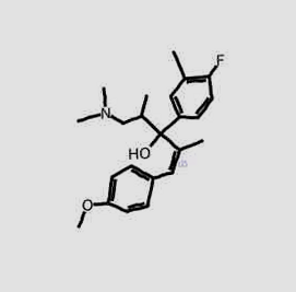 COc1ccc(/C=C(/C)C(O)(c2ccc(F)c(C)c2)C(C)CN(C)C)cc1